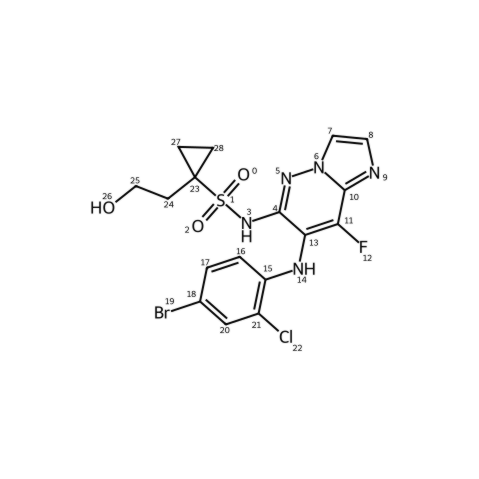 O=S(=O)(Nc1nn2ccnc2c(F)c1Nc1ccc(Br)cc1Cl)C1(CCO)CC1